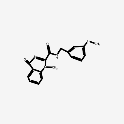 COc1cccc(CNC(=O)c2nc(=O)c3ccccc3n2C)c1